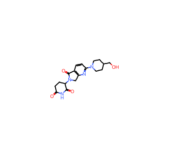 O=C1CCC(N2Cc3nc(N4CCC(CO)CC4)ccc3C2=O)C(=O)N1